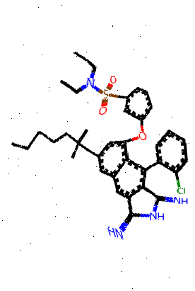 CCCCCC(C)(C)c1cc(Oc2cccc(S(=O)(=O)N(CC)CC)c2)c2c(-c3ccccc3Cl)c3c(cc2c1)C(=N)NC3=N